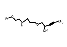 CC#CC(O)COCCCNCCOCCC